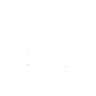 CC(C)CC1=[C]([Hf][C]2=C(CC(C)C)C=CC2)CC=C1.I.I